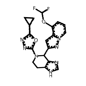 FC(F)Oc1cccn2nc(C3c4nc[nH]c4CCN3c3nnc(C4CC4)o3)cc12